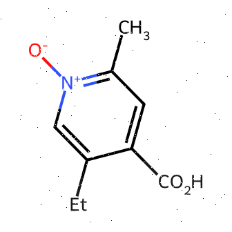 CCc1c[n+]([O-])c(C)cc1C(=O)O